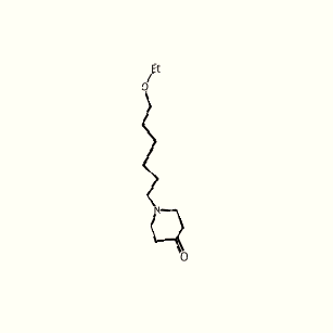 CCOCCCCCCN1CCC(=O)CC1